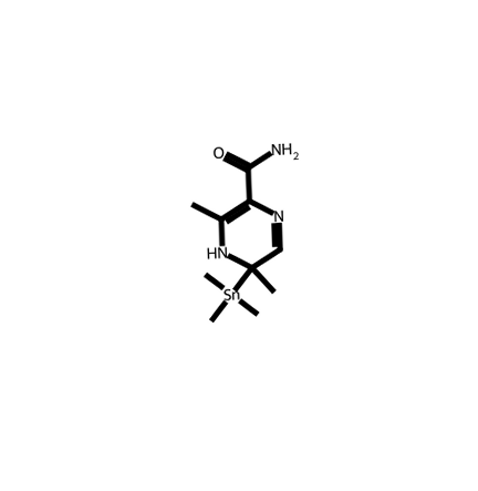 CC1=C(C(N)=O)N=C[C](C)([Sn]([CH3])([CH3])[CH3])N1